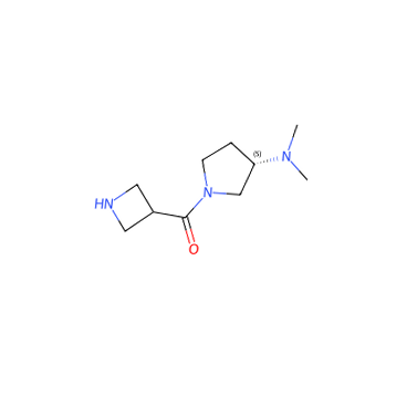 CN(C)[C@H]1CCN(C(=O)C2CNC2)C1